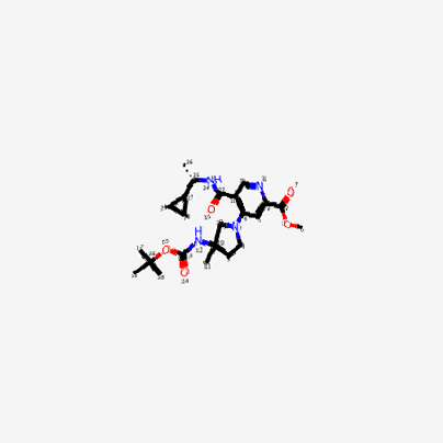 COC(=O)c1cc(N2CCC(C)(NC(=O)OC(C)(C)C)C2)c(C(=O)N[C@@H](C)C2CC2)cn1